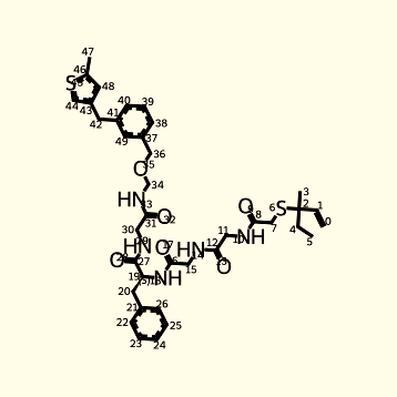 C=CC(C)(CC)SCC(=O)NCC(=O)NCC(=O)N[C@@H](Cc1ccccc1)C(=O)NCC(=O)NCOCc1cccc(Cc2csc(C)c2)c1